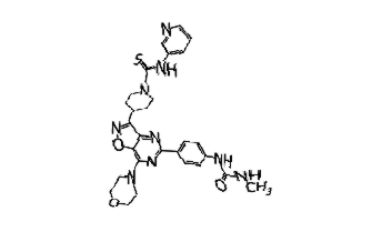 CNC(=O)Nc1ccc(-c2nc(N3CCOCC3)c3onc(C4CCN(C(=S)Nc5cccnc5)CC4)c3n2)cc1